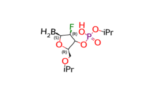 B[C@@H]1O[C@H](COC(C)C)C(OP(=O)(O)OC(C)C)[C@@H]1F